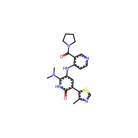 Cc1ncsc1-c1cc(Nc2ccncc2C(=O)N2CCCC2)c(N(C)C)[nH]c1=O